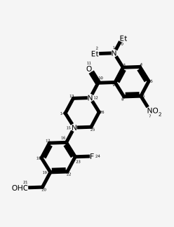 CCN(CC)c1ccc([N+](=O)[O-])cc1C(=O)N1CCN(c2ccc(CC=O)cc2F)CC1